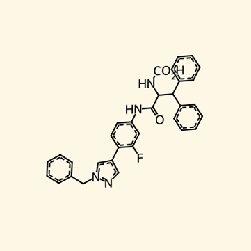 O=C(O)NC(C(=O)Nc1ccc(-c2cnn(Cc3ccccc3)c2)c(F)c1)C(c1ccccc1)c1ccccc1